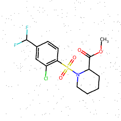 COC(=O)C1CCCCN1S(=O)(=O)c1ccc(C(F)F)cc1Cl